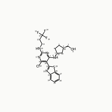 OC[C@@H]1CC[C@H](Nc2nc(NCCC(F)(F)F)nc(Cl)c2-c2nc3ccccc3s2)C1